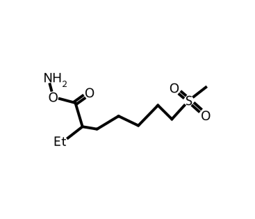 CCC(CCCCCS(C)(=O)=O)C(=O)ON